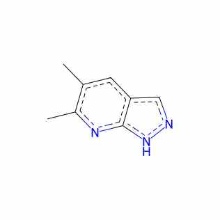 Cc1cc2cn[nH]c2nc1C